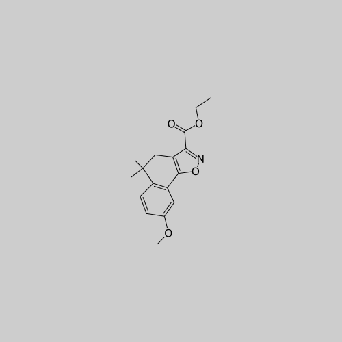 CCOC(=O)c1noc2c1CC(C)(C)c1ccc(OC)cc1-2